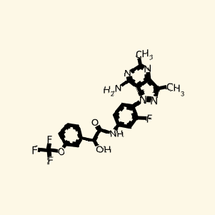 Cc1nc(N)c2c(n1)c(C)nn2-c1ccc(NC(=O)C(O)c2cccc(OC(F)(F)F)c2)cc1F